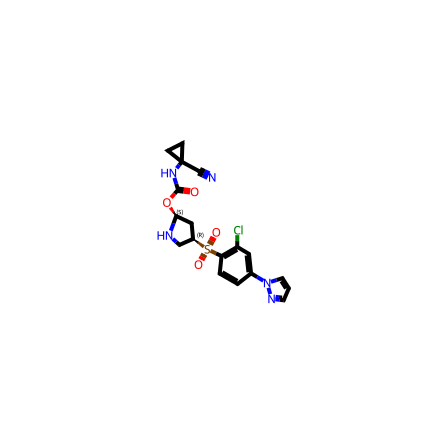 N#CC1(NC(=O)O[C@H]2C[C@@H](S(=O)(=O)c3ccc(-n4cccn4)cc3Cl)CN2)CC1